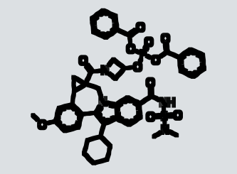 COc1ccc2c(c1)C1CC1(C(=O)N1CC(OP(=O)(OC(=O)c3ccccc3)OC(=O)c3ccccc3)C1)Cn1c-2c(C2CCCCC2)c2ccc(C(=O)NS(=O)(=O)N(C)C)cc21